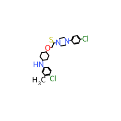 Cc1cc(NC2CCC(OCC(=S)N3CCN(c4ccc(Cl)cc4)CC3)CC2)ccc1Cl